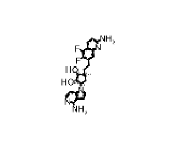 C[C@]1(CCc2cc3nc(N)ccc3c(F)c2F)C[C@@H](n2ccc3c(N)nccc32)[C@H](O)[C@@H]1O